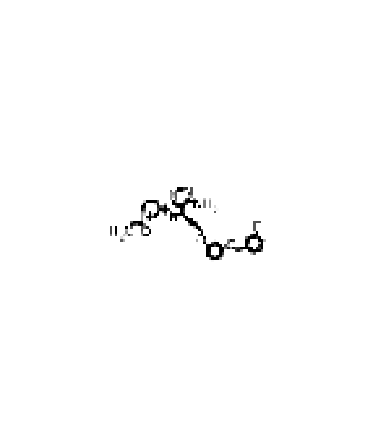 C=CC(=O)N1CCC[C@@H](n2nc(C#CCOc3cccc(OCc4cccc(F)c4)c3)c3c(N)ncnc32)C1